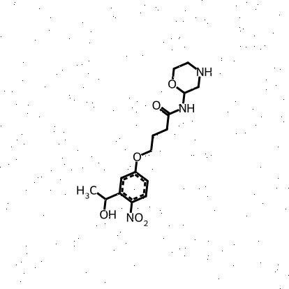 CC(O)c1cc(OCCCC(=O)NC2CNCCO2)ccc1[N+](=O)[O-]